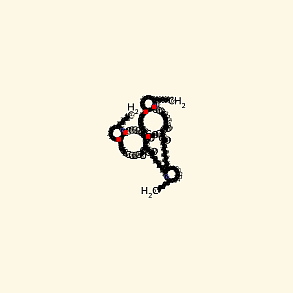 C=CCCCCC1/C=C\C(CCCCCCCC(=O)OCC2COC(=O)CCCCCCCC3/C=C\C(CCCCC=C)CCCCCCCC3C=CCCCCCCCC(=O)O2)C(C=CCCCCCCCC(=O)OCC2COC(=O)CCCCCCCC=CC3CCCCCCCC(CCCCC=C)/C=C\C3CCCCCCCC(=O)O2)CCCCCCC1